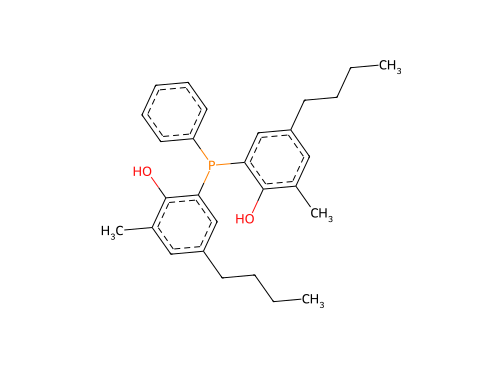 CCCCc1cc(C)c(O)c(P(c2ccccc2)c2cc(CCCC)cc(C)c2O)c1